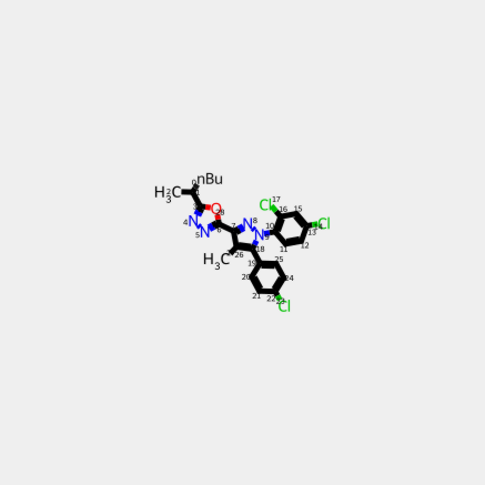 CCCCC(C)c1nnc(-c2nn(-c3ccc(Cl)cc3Cl)c(-c3ccc(Cl)cc3)c2C)o1